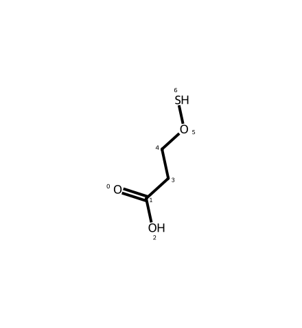 O=C(O)CCOS